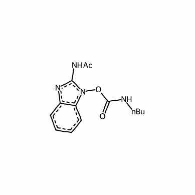 CCCCNC(=O)On1c(NC(C)=O)nc2ccccc21